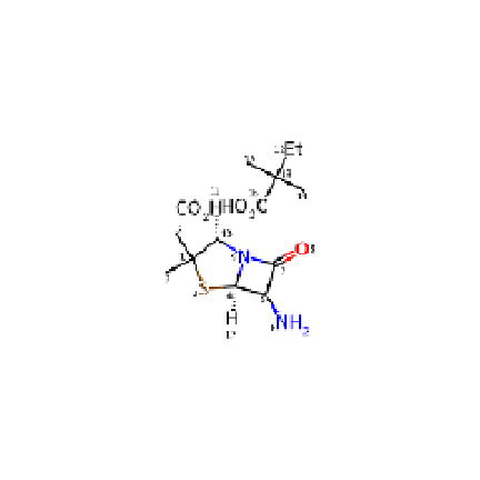 CC1(C)S[C@@H]2[C@H](N)C(=O)N2[C@H]1C(=O)O.CCC(C)(C)C(=O)O